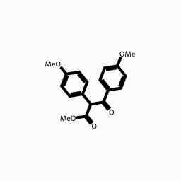 COC(=O)C(C(=O)c1ccc(OC)cc1)c1ccc(OC)cc1